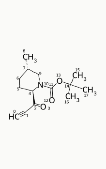 C#CC(=O)[C@H]1CC[C@H](C)CN1C(=O)OC(C)(C)C